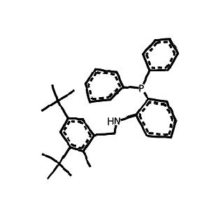 Cc1c(CNc2ccccc2P(c2ccccc2)c2ccccc2)cc(C(C)(C)C)cc1C(C)(C)C